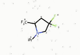 CC(C)N1CC(F)(F)CC1C(F)(F)F